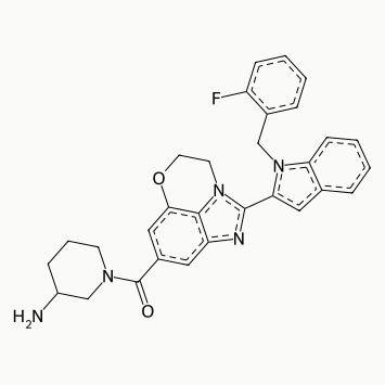 NC1CCCN(C(=O)c2cc3c4c(c2)nc(-c2cc5ccccc5n2Cc2ccccc2F)n4CCO3)C1